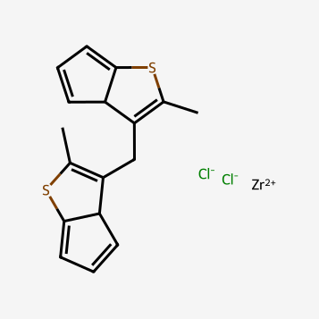 CC1=C(CC2=C(C)SC3=CC=CC32)C2C=CC=C2S1.[Cl-].[Cl-].[Zr+2]